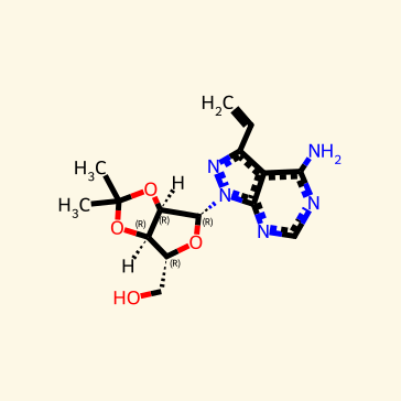 C=Cc1nn([C@@H]2O[C@H](CO)[C@H]3OC(C)(C)O[C@H]32)c2ncnc(N)c12